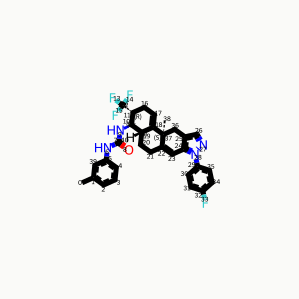 Cc1cccc(NC(=O)N[C@H]2[C@H](C(F)(F)F)CC=C3[C@@H]2CCC2=Cc4c(cnn4-c4ccc(F)cc4)C[C@@]23C)c1